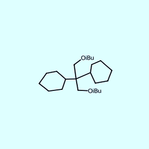 CC(C)COCC(COCC(C)C)(C1CCCCC1)C1CCCCC1